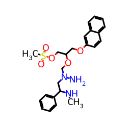 CNC(CN(N)COC(COc1ccc2ccccc2c1)COS(C)(=O)=O)c1ccccc1